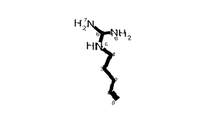 C=CCCCNC(N)N